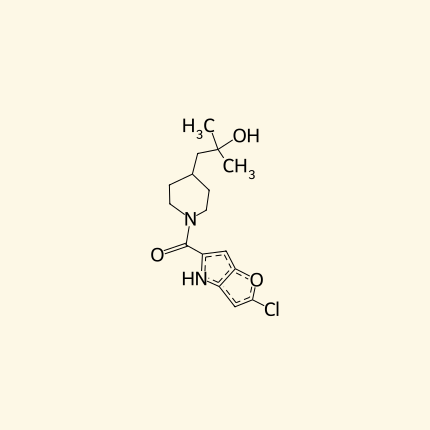 CC(C)(O)CC1CCN(C(=O)c2cc3oc(Cl)cc3[nH]2)CC1